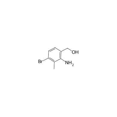 Cc1c(Br)ccc(CO)c1N